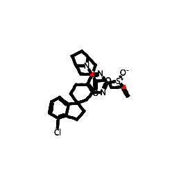 C=CCOC(=O)N1CC2CCC(C1)N2c1nc([S+](C)[O-])nc2c1CCC1(CCc3c(Cl)cccc31)C2